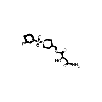 NC(=O)CC(O)C(=O)NCC1CCN(S(=O)(=O)c2cccc(F)c2)CC1